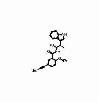 CC(C)Oc1ccc(C#CC(C)(C)C)cc1C(=O)NC(O)[C@H](C)c1c[nH]c2ccccc12